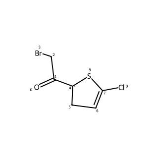 O=C(CBr)[C]1CC=C(Cl)S1